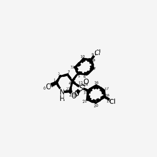 O=C1CCC(c2ccc(Cl)cc2)(S(=O)(=O)c2ccc(Cl)cc2)C(=O)N1